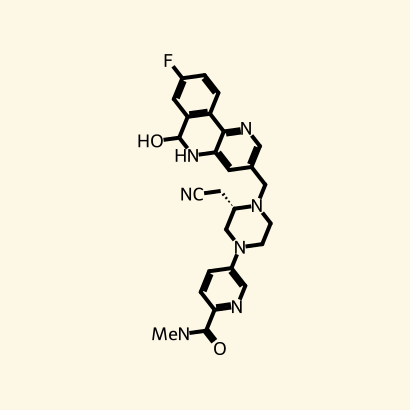 CNC(=O)c1ccc(N2CCN(Cc3cnc4c(c3)NC(O)c3cc(F)ccc3-4)[C@@H](CC#N)C2)cn1